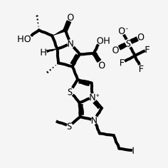 CSc1c2sc(C3=C(C(=O)O)N4C(=O)[C@H]([C@@H](C)O)[C@H]4[C@H]3C)c[n+]2cn1CCCI.O=S(=O)([O-])C(F)(F)F